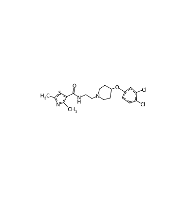 Cc1nc(C)c(C(=O)NCCN2CCC(Oc3ccc(Cl)c(Cl)c3)CC2)s1